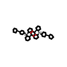 c1ccc(-c2ccc(N(c3ccccc3)c3ccccc3-c3ccc(-c4ccccc4N(c4ccccc4)c4ccc(-c5ccccc5)cc4)cc3)cc2)cc1